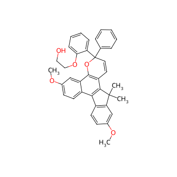 COc1ccc2c(c1)C(C)(C)c1c3c(c4cc(OC)ccc4c1-2)OC(c1ccccc1)(c1ccccc1OCCO)C=C3